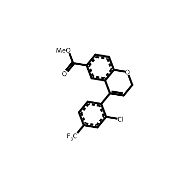 COC(=O)c1ccc2c(c1)C(c1ccc(C(F)(F)F)cc1Cl)=CCO2